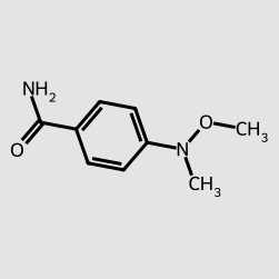 CON(C)c1ccc(C(N)=O)cc1